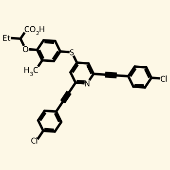 CCC(Oc1ccc(Sc2cc(C#Cc3ccc(Cl)cc3)nc(C#Cc3ccc(Cl)cc3)c2)cc1C)C(=O)O